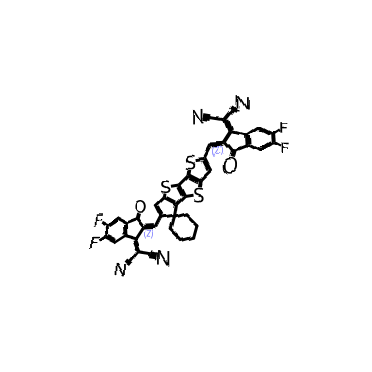 N#CC(C#N)=C1/C(=C/C2=Cc3sc4c(sc5cc(/C=C6\C(=O)c7cc(F)c(F)cc7C6=C(C#N)C#N)sc54)c3C23CCCCC3)C(=O)c2cc(F)c(F)cc21